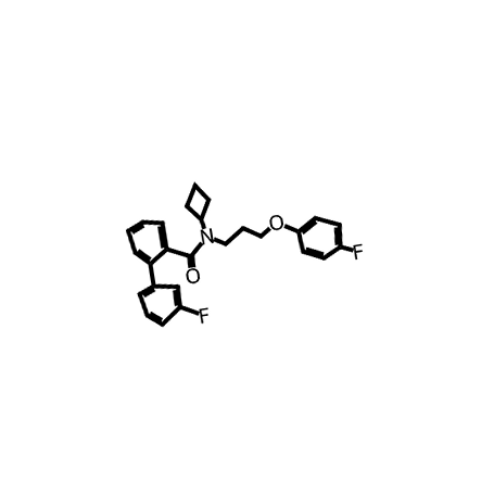 O=C(c1ccccc1-c1cccc(F)c1)N(CCCOc1ccc(F)cc1)C1CCC1